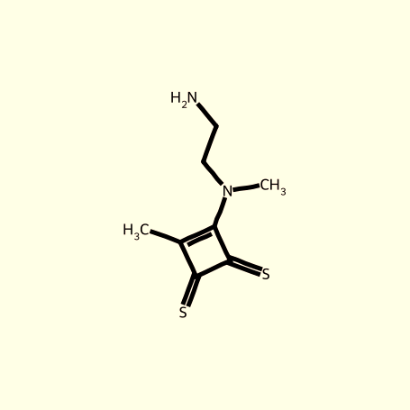 Cc1c(N(C)CCN)c(=S)c1=S